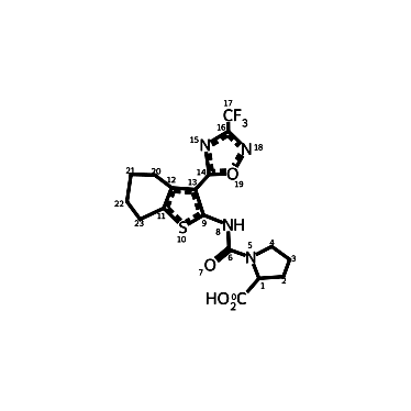 O=C(O)C1CCCN1C(=O)Nc1sc2c(c1-c1nc(C(F)(F)F)no1)CCCC2